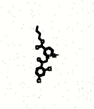 CCCCOC(=O)c1ccc[n+](CC(=O)c2ccc(Cl)cc2Cl)c1.[Br-]